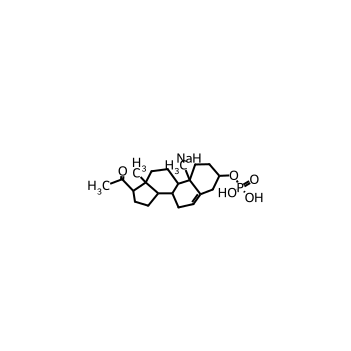 CC(=O)C1CCC2C3CC=C4CC(OP(=O)(O)O)CCC4(C)C3CCC12C.[NaH]